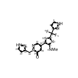 CNc1nc(C(F)(F)c2cc[nH]n2)sc1-c1cnn(Cc2cc[nH]n2)c(=O)c1